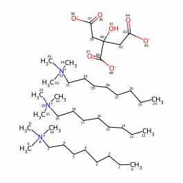 CCCCCCCC[N+](C)(C)C.CCCCCCCC[N+](C)(C)C.CCCCCCCC[N+](C)(C)C.O=C([O-])CC(O)(CC(=O)[O-])C(=O)[O-]